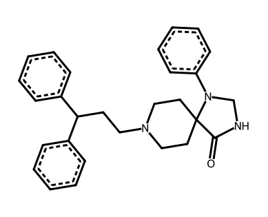 O=C1NCN(c2ccccc2)C12CCN(CCC(c1ccccc1)c1ccccc1)CC2